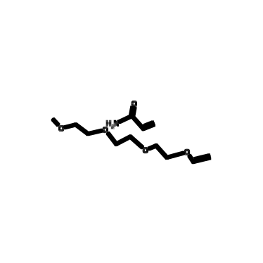 C=CC(N)=O.C=COCCOCCOCCOC